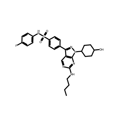 CCCCNc1ncc2c(-c3ccc(S(=O)(=O)Nc4ccc(F)cc4)cc3)nn(C3CCC(O)CC3)c2n1